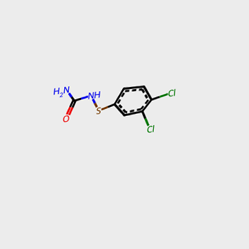 NC(=O)NSc1ccc(Cl)c(Cl)c1